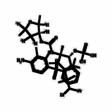 [2H]C1(C)OC([2H])(C)[C@@]([2H])(OC(=O)N[C@@](C)(C(C)c2ccccc2C)[C@H](OP(=O)(O)O)C(C)N(C(C)(C)C(CC)C(C)C)S(=O)(=O)c2ccc(N)c(C)c2C)C1([2H])[2H]